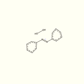 OO.c1ccc(/N=N/c2ccccc2)cc1